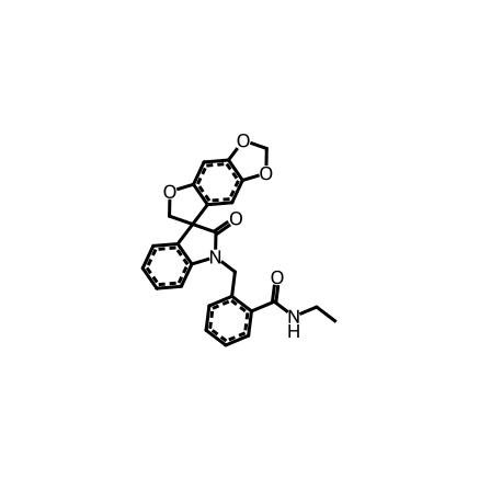 CCNC(=O)c1ccccc1CN1C(=O)C2(COc3cc4c(cc32)OCO4)c2ccccc21